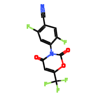 N#Cc1cc(F)c(-n2c(=O)cc(C(F)(F)F)oc2=O)cc1F